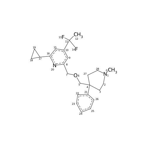 CN1CCC(COCc2cc(C(C)(F)F)cc(C3CC3)n2)(c2ccccc2)CC1